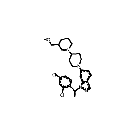 CC(c1ccc(Cl)cc1Cl)n1ncc2ccc(N3CCC(N4CCCC(CO)C4)CC3)cc21